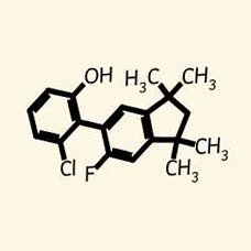 CC1(C)CC(C)(C)c2cc(-c3c(O)cccc3Cl)c(F)cc21